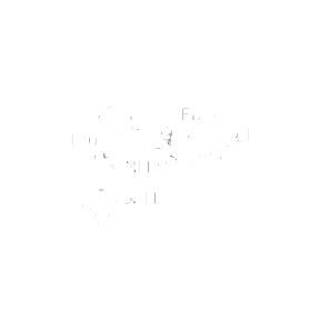 CC(C)(C)c1cccc(CC(C)(CNC(=O)c2ccccc2O)S(=O)(=O)c2ccc(Cl)cc2F)c1